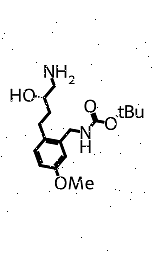 COc1ccc(CC[C@H](O)CN)c(CNC(=O)OC(C)(C)C)c1